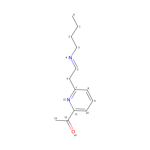 CCCCN=CCc1cccc(C(C)=O)n1